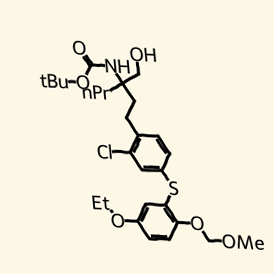 CCCC(CO)(CCc1ccc(Sc2cc(OCC)ccc2OCOC)cc1Cl)NC(=O)OC(C)(C)C